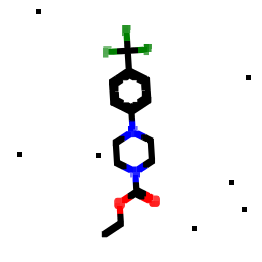 CCOC(=O)N1CCN(c2ccc(C(F)(F)F)cc2)CC1